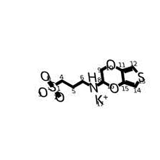 O=S(=O)([O-])CCCNC1COc2cscc2O1.[K+]